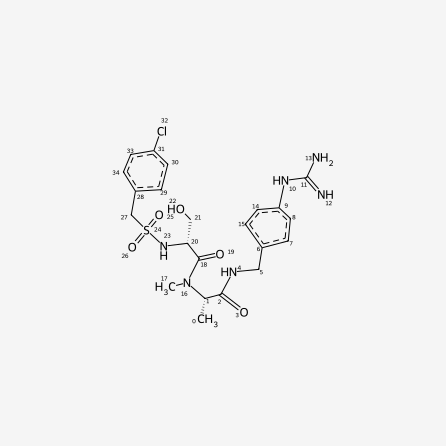 C[C@@H](C(=O)NCc1ccc(NC(=N)N)cc1)N(C)C(=O)[C@@H](CO)NS(=O)(=O)Cc1ccc(Cl)cc1